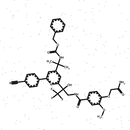 COc1cc(C(=O)NCC(O)(c2cc(C(C)(C)NC(=O)OCc3ccccc3)cc(-c3ccc(C#N)cc3)n2)C(F)(F)F)ccc1OCC(N)=O